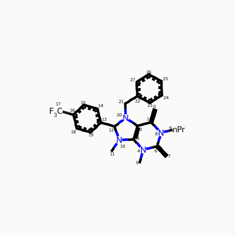 C=C1C2=C(N(C)C(=C)N1CCC)N(C)C(c1ccc(C(F)(F)F)cc1)N2Cc1ccccc1